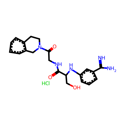 Cl.N=C(N)c1cccc(NC(CO)C(=O)NCC(=O)N2CCc3ccccc3C2)c1